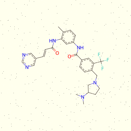 Cc1ccc(NC(=O)c2ccc(CN3CCC(N(C)C)C3)c(C(F)(F)F)c2)cc1NC(=O)C=Cc1cncnc1